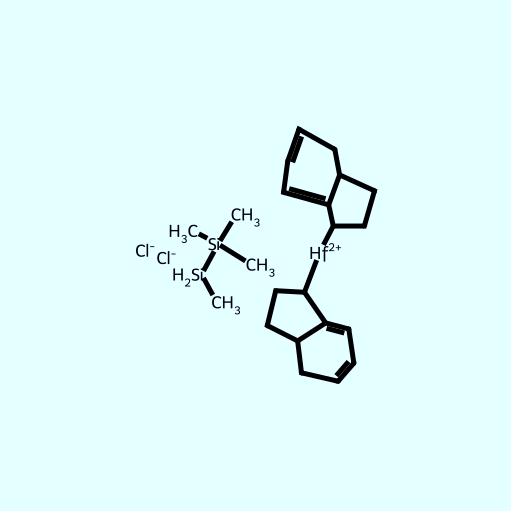 C1=CCC2CC[CH]([Hf+2][CH]3CCC4CC=CC=C43)C2=C1.C[SiH2][Si](C)(C)C.[Cl-].[Cl-]